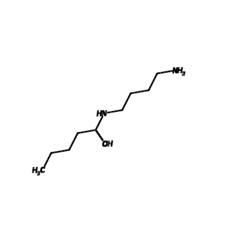 CCCCC(O)NCCCCN